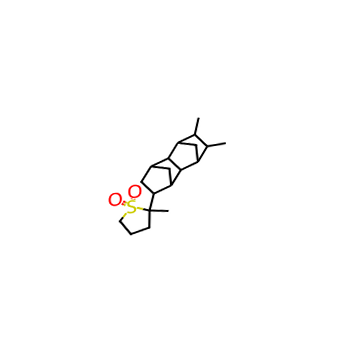 CC1C(C)C2CC1C1C3CC(C21)C(C1(C)CCCS1(=O)=O)C3